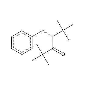 CC(C)(C)C(=O)[C@H](Cc1ccccc1)C(C)(C)C